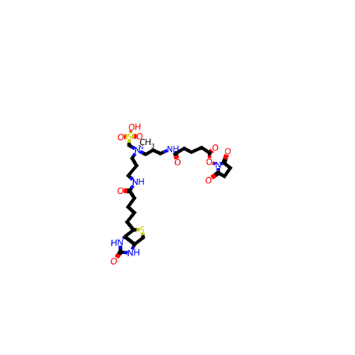 C[N+](CCCNC(=O)CCCCC1SCC2NC(=O)NC21)(CCCNC(=O)CCCC(=O)ON1C(=O)CCC1=O)CS(=O)(=O)O